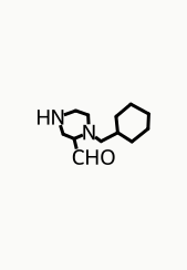 O=CC1CNCCN1CC1CCCCC1